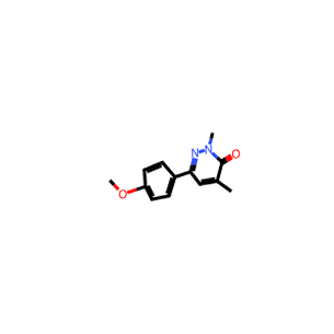 COc1ccc(-c2cc(C)c(=O)n(C)n2)cc1